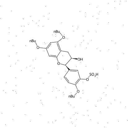 CCCCOc1cc(OCCCC)c2c(c1)O[C@H](c1ccc(OCCCC)c(OS(=O)(=O)O)c1)[C@H](O)C2